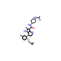 CC(=O)NC1CCC(NC(=O)c2c(C)[nH]c3c(-c4cc(C)ccc4OCC4CC4)ccnc23)CC1